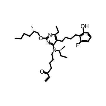 C=CC(=O)CCCCN(c1nc(OC[C@@H](C)CCCC)nc(CC)c1CCCCc1c(O)cccc1F)[C@@H](C)CC